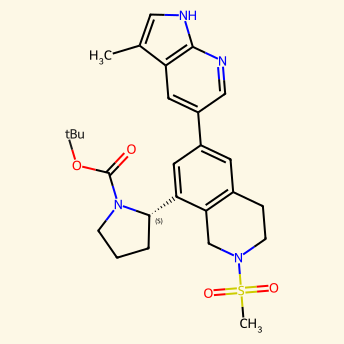 Cc1c[nH]c2ncc(-c3cc4c(c([C@@H]5CCCN5C(=O)OC(C)(C)C)c3)CN(S(C)(=O)=O)CC4)cc12